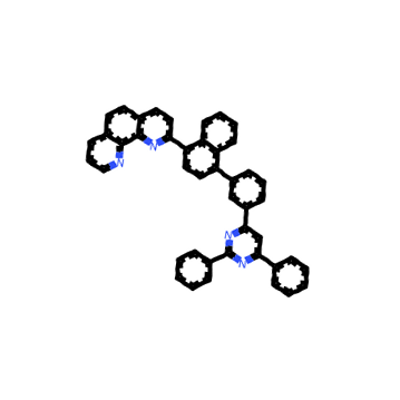 c1ccc(-c2cc(-c3cccc(-c4ccc(-c5ccc6ccc7cccnc7c6n5)c5ccccc45)c3)nc(-c3ccccc3)n2)cc1